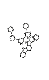 c1ccc(-c2cccc(-c3cnc(-n4c5ccccc5c5ccc6c7ccccc7sc6c54)c(-c4nc(-c5ccccc5)nc(-c5ccccc5)n4)c3)c2)cc1